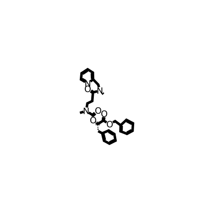 CN(Cc1ccccn1)C(=O)CCN(C)C(=O)O[C@@H](Cc1ccccc1)C(=O)OCc1ccccc1